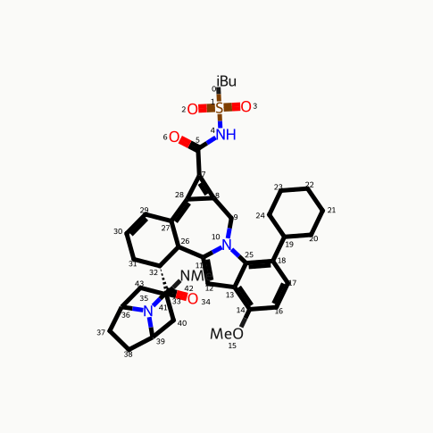 CCC(C)S(=O)(=O)NC(=O)C1=C2Cn3c(cc4c(OC)ccc(C5CCCCC5)c43)C3C(=C21)C=CC[C@H]3C(=O)N1C2CCC1CC(NC)C2